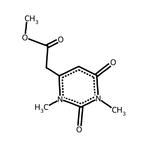 COC(=O)Cc1cc(=O)n(C)c(=O)n1C